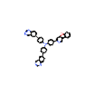 c1ccc2c(c1)oc1cc(-c3ccc(N(c4ccc(-c5ccc6ncncc6c5)cc4)c4ccc(-c5ccc6ncncc6c5)cc4)cc3)ncc12